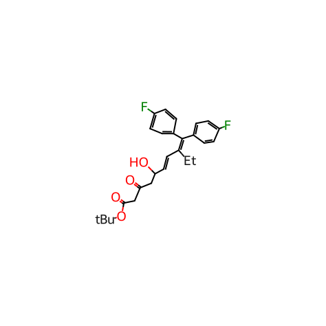 CCC(/C=C/C(O)CC(=O)CC(=O)OC(C)(C)C)=C(c1ccc(F)cc1)c1ccc(F)cc1